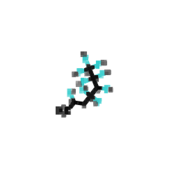 CC(F)CC(F)(F)C(F)C(F)(F)C(F)(F)F